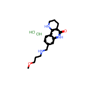 COCCCNCc1ccc2c3c(c(=O)[nH]c2c1)CCCN3.Cl.Cl